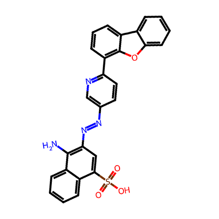 Nc1c(N=Nc2ccc(-c3cccc4c3oc3ccccc34)nc2)cc(S(=O)(=O)O)c2ccccc12